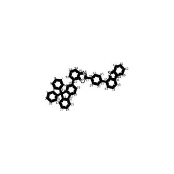 c1ccc(C2(c3ccccc3)c3ccccc3-c3ccc(-c4cccc5nc(-c6ccc(-c7cccc8c7sc7ccccc78)cc6)oc45)cc32)cc1